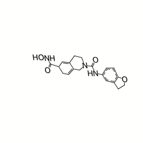 O=C(NO)C1C=C2CCN(C(=O)Nc3ccc4c(c3)CCO4)CC2=CC1